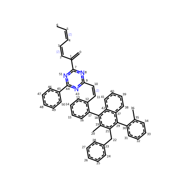 C=C(/C=C\C=C/C)c1nc(/C=C\c2ccccc2-c2c(C)c(Cc3ccccc3)c(-c3ccccc3C)c3ccccc23)nc(-c2ccccc2)n1